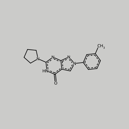 Cc1cccc(-n2cc3c(=O)[nH]c(N4CCCC4)nc3n2)c1